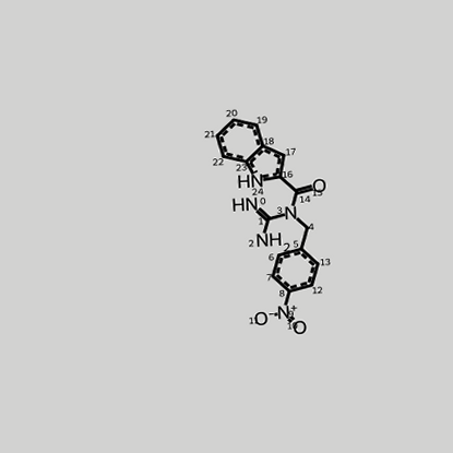 N=C(N)N(Cc1ccc([N+](=O)[O-])cc1)C(=O)c1cc2ccccc2[nH]1